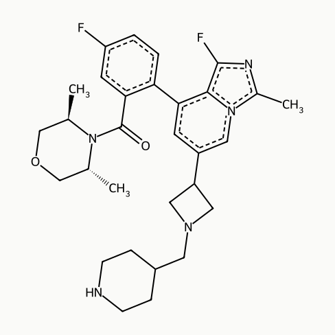 Cc1nc(F)c2c(-c3ccc(F)cc3C(=O)N3[C@H](C)COC[C@H]3C)cc(C3CN(CC4CCNCC4)C3)cn12